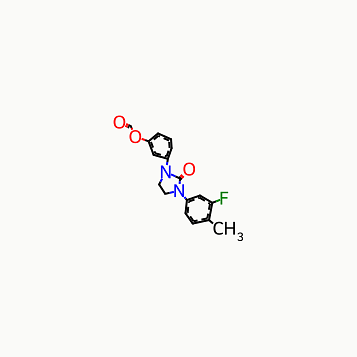 Cc1ccc(N2CCN(c3cccc(OC=O)c3)C2=O)cc1F